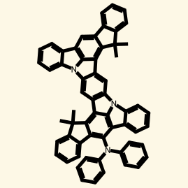 CC1(C)c2ccccc2-c2cc3c4ccccc4n4c5cc6c7c8c(c(N(c9ccccc9)c9ccccc9)c9c%10ccccc%10n(c6cc5c(c21)c34)c97)-c1ccccc1C8(C)C